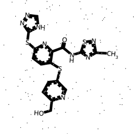 Cc1nsc(NC(=O)c2nc(Sc3nnc[nH]3)ccc2Sc2ccc(CO)nc2)n1